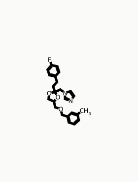 Cc1cccc(COCC2COC(CCc3ccc(F)cc3)(Cn3ccnc3)O2)c1